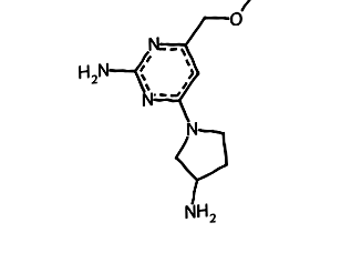 CC(C)OCc1cc(N2CCC(N)C2)nc(N)n1